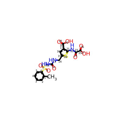 Cc1ccccc1S(=O)(=O)NC(=O)NCc1cc(C(=O)O)c(NC(=O)C(=O)O)s1